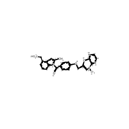 Cc1cc2c(CC(=O)O)cccc2n1C(=O)c1ccc(OCC2=CN(C)c3nccnc3O2)cc1